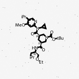 CCOC[C@@H](CC(C)C)NC(=O)[C@H]1C[C@@H](C(=O)N(c2cc(OC)c(C(C)C)cn2)C2CC2)CN(C(=O)OC(C)(C)C)C1